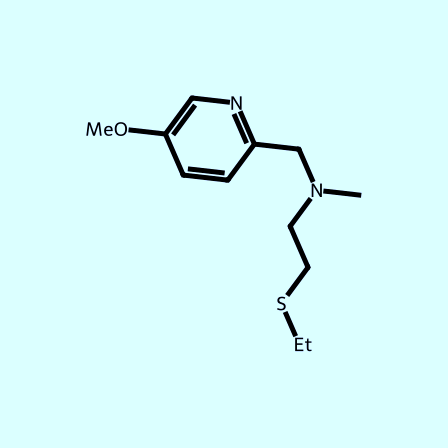 CCSCCN(C)Cc1ccc(OC)cn1